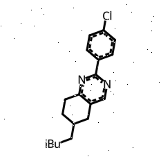 CCC(C)CC1CCc2nc(-c3ccc(Cl)cc3)ncc2C1